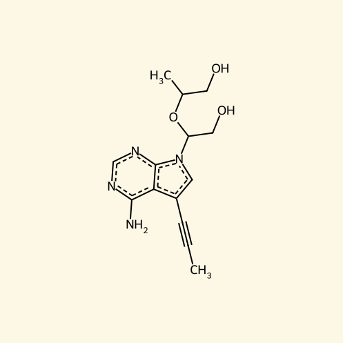 CC#Cc1cn(C(CO)OC(C)CO)c2ncnc(N)c12